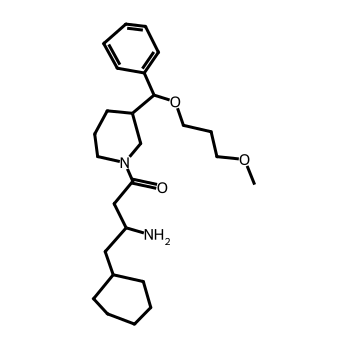 COCCCOC(c1ccccc1)C1CCCN(C(=O)CC(N)CC2CCCCC2)C1